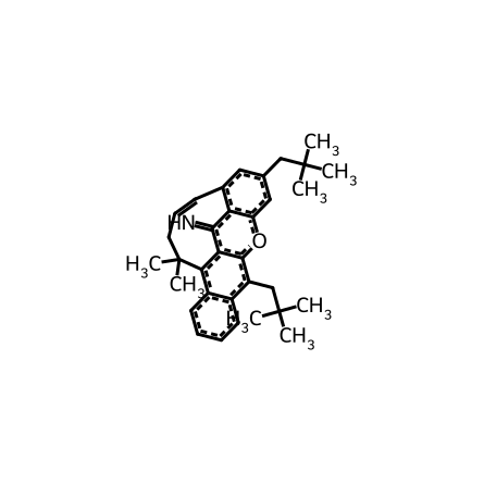 CC(C)(C)Cc1cc2c3c(=N)c4c(c5ccccc5c(CC(C)(C)C)c4oc3c1)C(C)(C)C/C=C\2